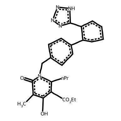 CCCc1c(C(=O)OCC)c(O)c(C)c(=O)n1Cc1ccc(-c2ccccc2-c2nnn[nH]2)cc1